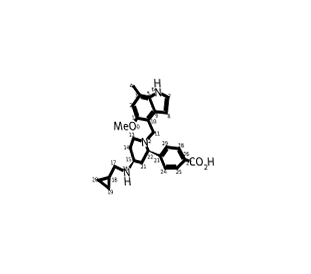 COc1cc(C)c2[nH]ccc2c1CN1CC[C@H](NCC2CC2)C[C@@H]1c1ccc(C(=O)O)cc1